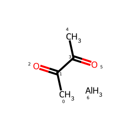 CC(=O)C(C)=O.[AlH3]